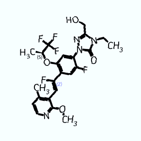 CCn1c(CO)nn(-c2cc(O[C@@H](C)C(F)(F)F)c(/C(F)=C/c3c(C)ccnc3OC)cc2F)c1=O